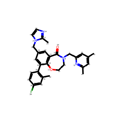 Cc1cc(C)nc(CN2CCOc3c(cc(Cn4ccnc4C)cc3-c3ccc(F)cc3C)C2=O)c1